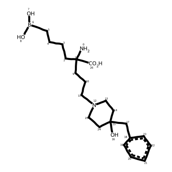 NC(CCCCB(O)O)(CCCN1CCC(O)(Cc2ccccc2)CC1)C(=O)O